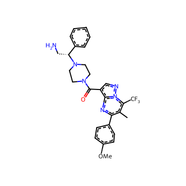 COc1ccc(-c2nc3c(C(=O)N4CCN([C@H](CN)c5ccccc5)CC4)cnn3c(C(F)(F)F)c2C)cc1